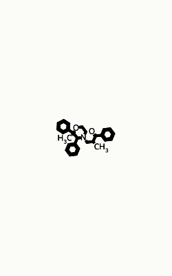 CC(CN1CCOC(C)(c2ccccc2)C1c1ccccc1)C(=O)c1ccccc1